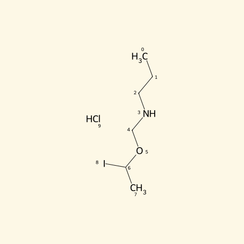 CCCNCOC(C)I.Cl